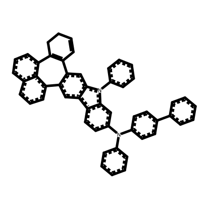 C1=CC2=C(CC1)c1cccc3cccc(c13)-c1cc3c4ccc(N(c5ccccc5)c5ccc(-c6ccccc6)cc5)cc4n(-c4ccccc4)c3cc12